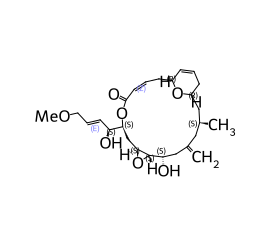 C=C1C[C@H](C)C[C@@H]2CC=C[C@@H](C/C=C\C(=O)O[C@H]([C@@H](O)/C=C/COC)C[C@@H]3O[C@H]3[C@@H](O)C1)O2